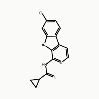 O=C(Nc1nccc2c1[nH]c1cc(Cl)ccc12)C1CC1